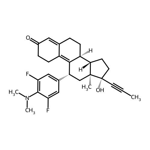 CC#C[C@]1(O)CC[C@H]2[C@@H]3CCC4=CC(=O)CCC4=C3[C@@H](c3cc(F)c(N(C)C)c(F)c3)C[C@@]21C